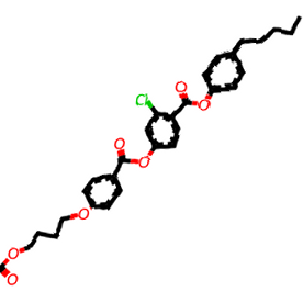 C=CC(=O)OCCCCOc1ccc(C(=O)Oc2ccc(C(=O)Oc3ccc(CCCCC)cc3)c(Cl)c2)cc1